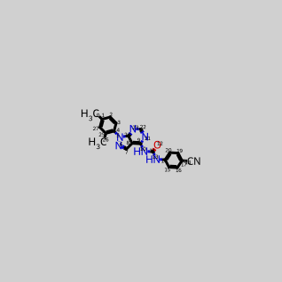 Cc1ccc(-n2ncc3c(NC(=O)Nc4ccc(C#N)cc4)ncnc32)c(C)c1